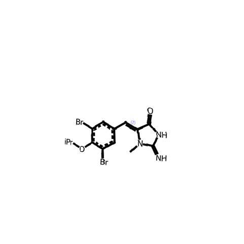 CC(C)Oc1c(Br)cc(/C=C2/C(=O)NC(=N)N2C)cc1Br